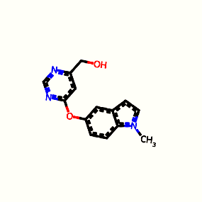 Cn1ccc2cc(Oc3cc(CO)ncn3)ccc21